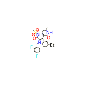 CCc1ccc2c(c1)c(-c1ccc(C)[nH]c1=O)c(C(=O)NS(C)(=O)=O)n2Cc1ccc(F)cc1F